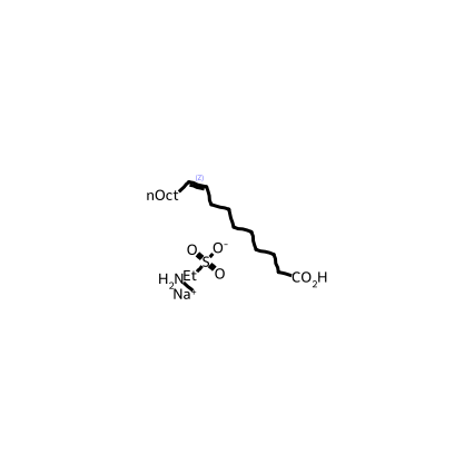 CCCCCCCC/C=C\CCCCCCCC(=O)O.CCS(=O)(=O)[O-].CN.[Na+]